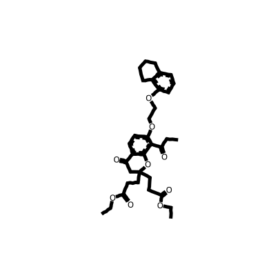 CCOC(=O)CCC1(CCC(=O)OCC)CC(=O)c2ccc(OCCOc3cccc4c3CCCC4)c(C(=O)CC)c2O1